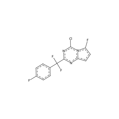 Fc1ccc(C(F)(F)c2nc(Cl)n3c(F)ccc3n2)cc1